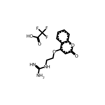 N=C(N)NCCOc1cc(=O)oc2ccccc12.O=C(O)C(F)(F)F